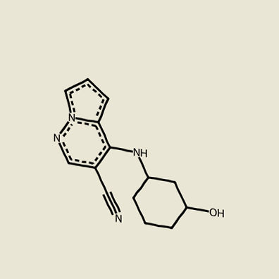 N#Cc1cnn2cccc2c1NC1CCCC(O)C1